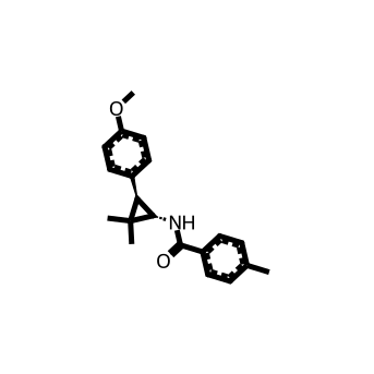 COc1ccc([C@H]2[C@H](NC(=O)c3ccc(C)cc3)C2(C)C)cc1